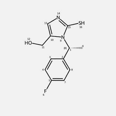 C[C@H](c1ccc(F)cc1)n1c(CO)cnc1S